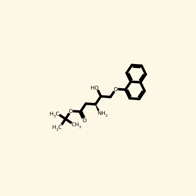 CC(C)(C)OC(=O)C[C@H](N)C(O)COc1cccc2ccccc12